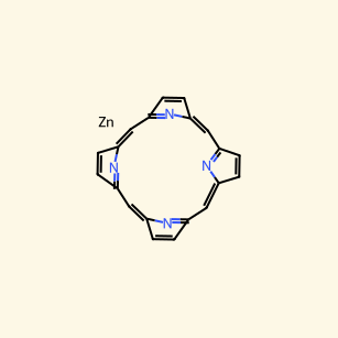 C1=CC2=NC1=CC1=NC(=CC3=NC(=CC4=NC(=C2)C=C4)C=C3)C=C1.[Zn]